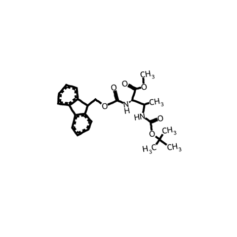 COC(=O)[C@@H](NC(=O)OCC1c2ccccc2-c2ccccc21)C(C)NC(=O)OC(C)(C)C